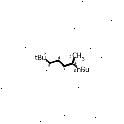 CCCCC(C)CCCC(C)(C)C